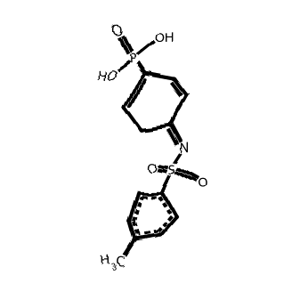 Cc1ccc(S(=O)(=O)N=C2C=CC(P(=O)(O)O)=CC2)cc1